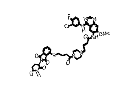 COc1cc2ncnc(Nc3ccc(F)c(Cl)c3)c2cc1NC(=O)/C=C/CN1CCN(C(=O)CCCSc2cccc3c2C(=O)N(C2CCC(=O)NC2=O)C3=O)CC1